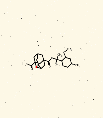 COC1CC(C)CCC1C(C)(C)OC(=O)C12CC3CC(C(C)=O)(CC(C1)C(=O)O3)C2